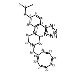 CC(C)Cc1ccc(-c2nn[nH]n2)c(N2CCN(CC3=C/C=C\C=C/C=C\3)CC2)c1